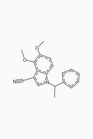 COc1ccc2c(c(C#N)cn2C(C)c2ccccc2)c1OC